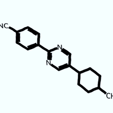 CC1CCC(c2cnc(-c3ccc(C#N)cc3)nc2)CC1